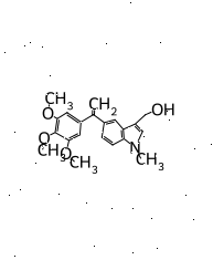 C=C(c1cc(OC)c(OC)c(OC)c1)c1ccc2c(c1)c(CO)cn2C